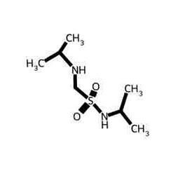 CC(C)NCS(=O)(=O)NC(C)C